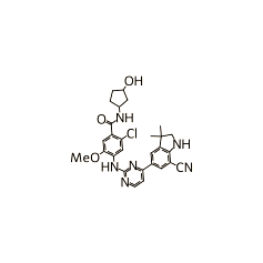 COc1cc(C(=O)NC2CCC(O)C2)c(Cl)cc1Nc1nccc(-c2cc(C#N)c3c(c2)C(C)(C)CN3)n1